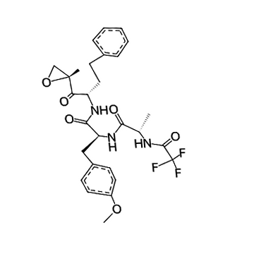 COc1ccc(C[C@H](NC(=O)[C@H](C)NC(=O)C(F)(F)F)C(=O)N[C@@H](CCc2ccccc2)C(=O)[C@@]2(C)CO2)cc1